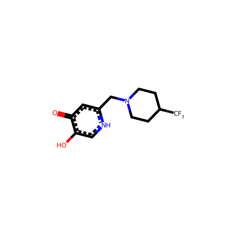 O=c1cc(CN2CCC(C(F)(F)F)CC2)[nH]cc1O